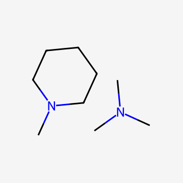 CN(C)C.CN1CCCCC1